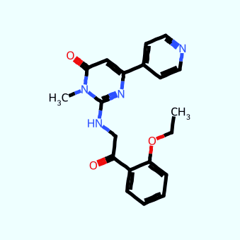 CCOc1ccccc1C(=O)CNc1nc(-c2ccncc2)cc(=O)n1C